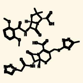 COc1cccc(OC)c1C(=O)N[C@@H]1C(=O)N2[C@@H]1SC(C)(C)[C@@H]2C(=O)O.Cc1nnc(SCC2=C(C(=O)O)N3C(=O)[C@@H](NC(=O)Cn4cnnn4)[C@H]3SC2)s1